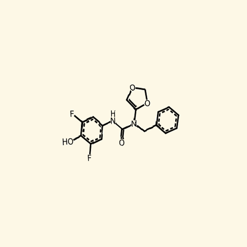 O=C(Nc1cc(F)c(O)c(F)c1)N(Cc1ccccc1)C1=COCO1